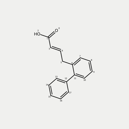 O=C(O)C=CCc1ccccc1-c1ccccc1